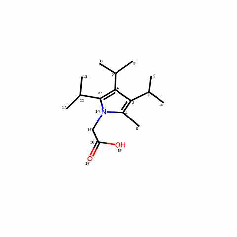 Cc1c(C(C)C)c(C(C)C)c(C(C)C)n1CC(=O)O